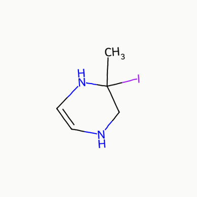 CC1(I)CNC=CN1